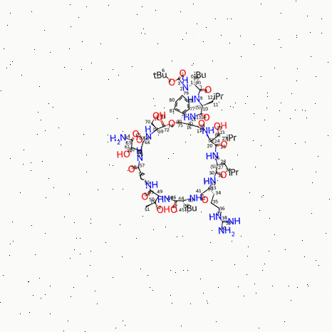 CC[C@@H](C)[C@@H](NC(=O)OC(C)(C)C)C(=O)N[C@@H](CC(C)C)C(=O)N[C@@H]1C(=O)N[C@@H]([C@H](O)C(C)C)C(=O)N[C@@H](CC(C)C)C(=O)N[C@H](CCCNC(=N)N)C(=O)NC([C@@H](C)CC)C(=O)NC([C@H](C)O)C(=O)NCC(=O)N[C@@H]([C@H](O)C(N)=O)C(=O)N[C@@H](CO)C(=O)O[C@@H]1c1ccccc1